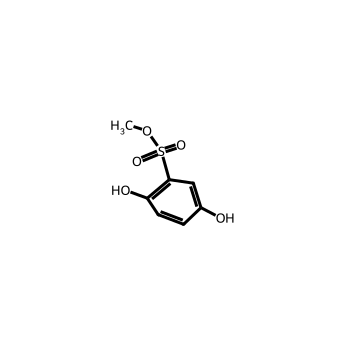 COS(=O)(=O)c1cc(O)ccc1O